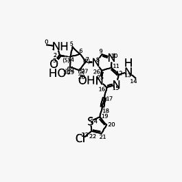 CNC(=O)[C@@]12CC1[C@@H](n1cnc3c(NC)nc(C#Cc4ccc(Cl)s4)nc31)[C@H](O)[C@@H]2O